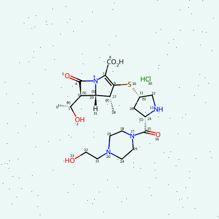 C[C@@H](O)[C@H]1C(=O)N2C(C(=O)O)=C(S[C@@H]3CN[C@H](C(=O)N4CCN(CCO)CC4)C3)[C@H](C)[C@H]12.Cl